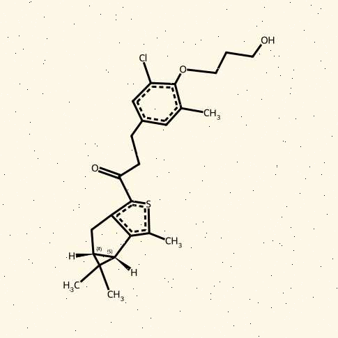 Cc1cc(CCC(=O)c2sc(C)c3c2C[C@@H]2[C@H]3C2(C)C)cc(Cl)c1OCCCO